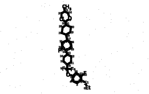 CCSc1ccc(OC(F)(F)C2CCC(c3ccc(C4CCC(C5OCC(C)CO5)CC4)cc3F)CC2)cc1F